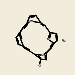 Clc1cc2cc3nc(cc4ccc(cc5nc(cc1[nH]2)C=C5)[nH]4)C=C3.[Na]